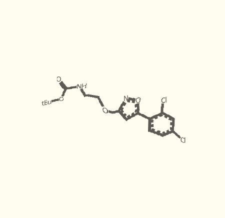 CC(C)(C)OC(=O)NCCOc1cc(-c2ccc(Cl)cc2Cl)on1